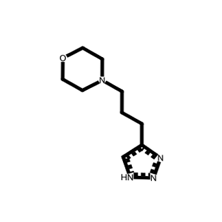 c1[nH]nnc1CCCN1CCOCC1